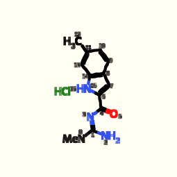 CNC(N)=NC(=O)c1cc2ccc(C)cc2[nH]1.Cl